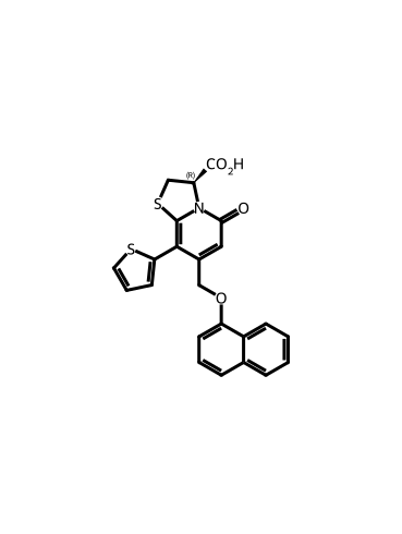 O=C(O)[C@@H]1CSc2c(-c3cccs3)c(COc3cccc4ccccc34)cc(=O)n21